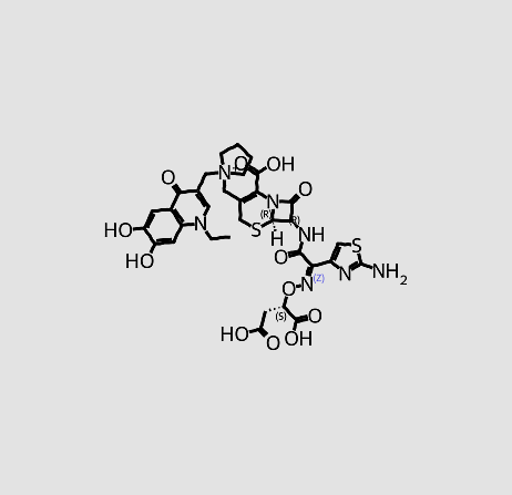 CCn1cc(C[N+]2(CC3=C(C(=O)O)N4C(=O)[C@@H](NC(=O)/C(=N\O[C@@H](CC(=O)O)C(=O)O)c5csc(N)n5)[C@H]4SC3)CCCC2)c(=O)c2cc(O)c(O)cc21